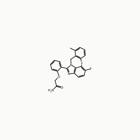 Cc1cccc(C)c1Cn1c(-c2ccccc2OCC(N)=O)nc2ccc(F)c(F)c21